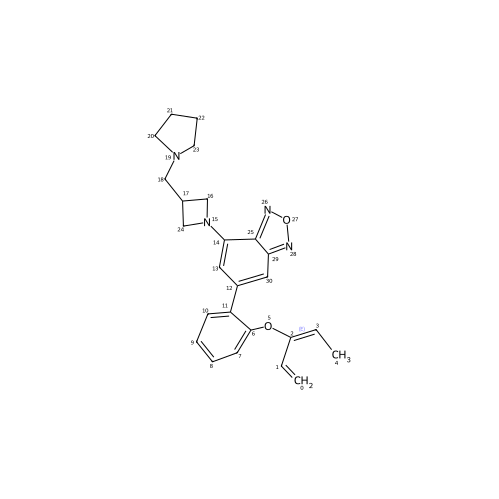 C=C/C(=C\C)Oc1ccccc1-c1cc(N2CC(CN3CCCC3)C2)c2nonc2c1